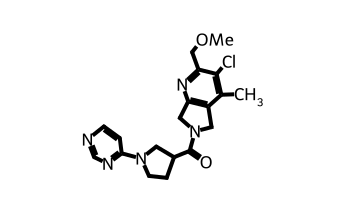 COCc1nc2c(c(C)c1Cl)CN(C(=O)C1CCN(c3ccncn3)C1)C2